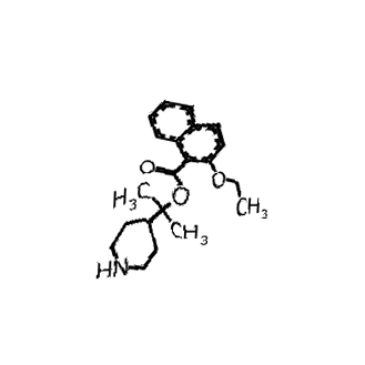 CCOc1ccc2ccccc2c1C(=O)OC(C)(C)C1CCNCC1